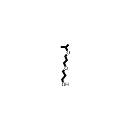 CC(C)OCCCOCCCO